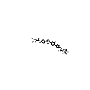 C=C(C)C(=O)Oc1ccc(-c2ccc(-c3ccc(-c4ccc(OC(=O)C(=C)C)cc4)c(F)c3)o2)cc1